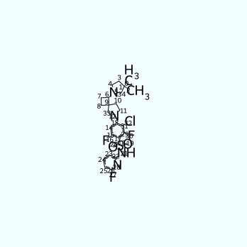 CC1(C)CCN(C2CCC23CCN(c2cc(F)c(S(=O)(=O)Nc4cccc(F)n4)c(F)c2Cl)C3)C1